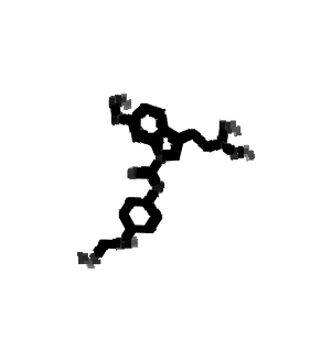 CCNC1CCC(OC(=O)n2cc(CCN(C)C)c3ccc(OC)cc32)CC1